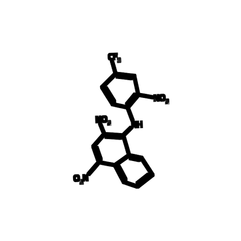 O=[N+]([O-])c1cc(C(F)(F)F)ccc1Nc1c([N+](=O)[O-])cc([N+](=O)[O-])c2ccccc12